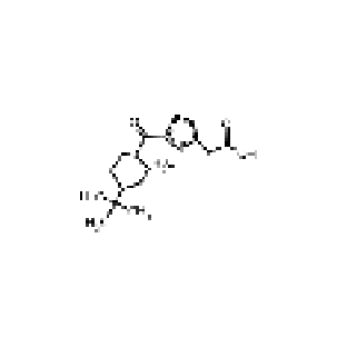 Cn1c(CC(=O)O)ccc1C(=O)C1CCC(C(C)(C)C)CC1